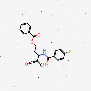 CC(=C=O)C(CCOC(=O)c1ccccc1)NC(=O)c1ccc(F)cc1